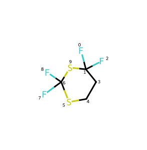 FC1(F)CCSC(F)(F)S1